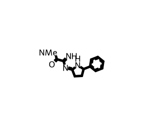 CNC(=O)C(=N)/N=C1/CCC(c2ccccc2)N1